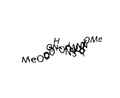 COc1ccc(OC(=O)NCCOc2cc(C)c3nc(-c4cc(C)cc5nc(OC)cnc45)sc3n2)cc1